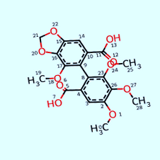 COc1cc(C(=O)O)c(-c2c(C(=O)O)cc3c(c2OC)OCO3)c(OC)c1OC